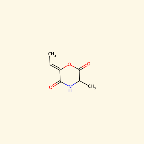 C/C=C1\OC(=O)C(C)NC1=O